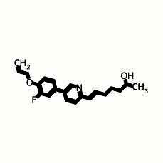 C=CCOc1ccc(-c2ccc(/C=C/CCCC(C)O)nc2)cc1F